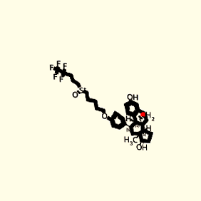 C=C[C@@]12CCc3cc(O)ccc3[C@H]1[C@@H](c1ccc(OCCCCC[S+]([O-])CCCC(F)(F)C(F)(F)F)cc1)C[C@@]1(C)[C@H]2CC[C@@H]1O